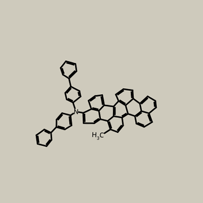 Cc1ccc2c3c4cccc5cccc(c6cccc(c63)c3c6cccc7c(N(c8ccc(-c9ccccc9)cc8)c8ccc(-c9ccccc9)cc8)ccc(c1c23)c76)c54